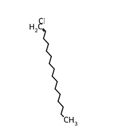 C=CCCCCCCCCCCCCCC.[C]